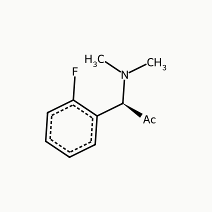 CC(=O)[C@@H](c1ccccc1F)N(C)C